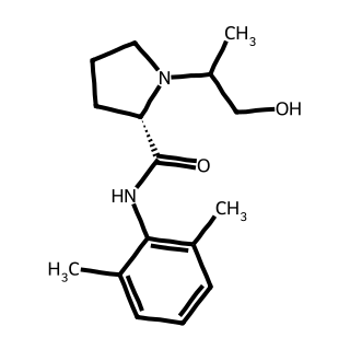 Cc1cccc(C)c1NC(=O)[C@@H]1CCCN1C(C)CO